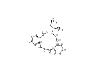 CCC(C)C1COc2ccccc2N=C=Nc2ccccc2OC1